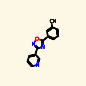 N#Cc1cccc(-c2nc(-c3cccnc3)no2)c1